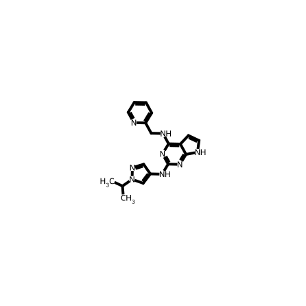 CC(C)n1cc(Nc2nc(NCc3ccccn3)c3cc[nH]c3n2)cn1